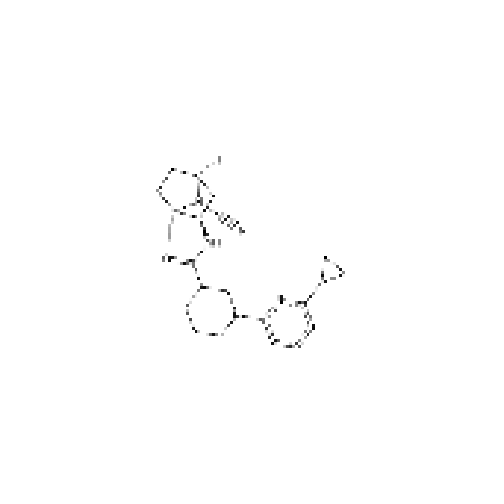 N#CN1[C@H]2CC[C@@H]1[C@H](NC(=O)C1CCCN(c3cccc(C4CC4)n3)C1)C2